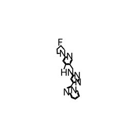 Cc1cc(N2CC[C@H](F)C2)ncc1CNc1cc(-c2cnc3ccccn23)ncn1